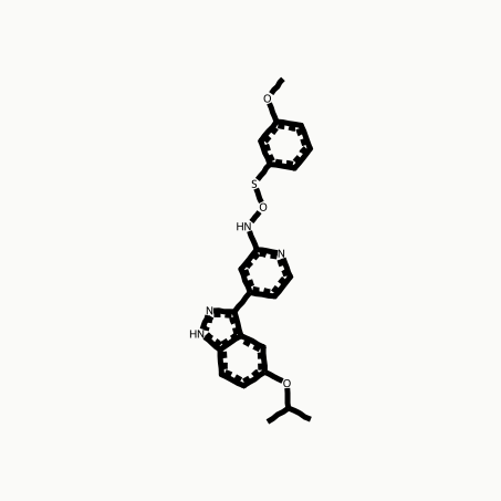 COc1cccc(SONc2cc(-c3n[nH]c4ccc(OC(C)C)cc34)ccn2)c1